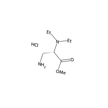 CCN(CC)[C@@H](CN)C(=O)OC.Cl